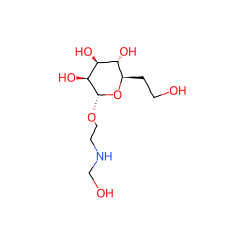 OCC[C@H]1O[C@H](OCCNCO)[C@@H](O)[C@@H](O)[C@@H]1O